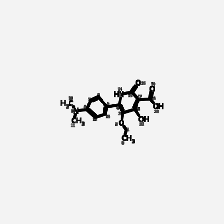 CCOc1c(-c2ccc(N(C)C)cc2)[nH]c(=O)c(C(=O)O)c1O